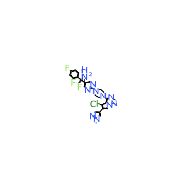 Cn1cc(-c2cn3ncnc(N4CCN(c5ncc([C@@](N)(c6ccc(F)cc6)C(F)F)cn5)CC4)c3c2Cl)cn1